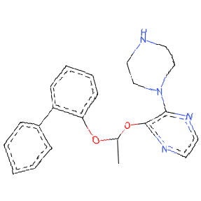 CC(Oc1ccccc1-c1ccccc1)Oc1nccnc1N1CCNCC1